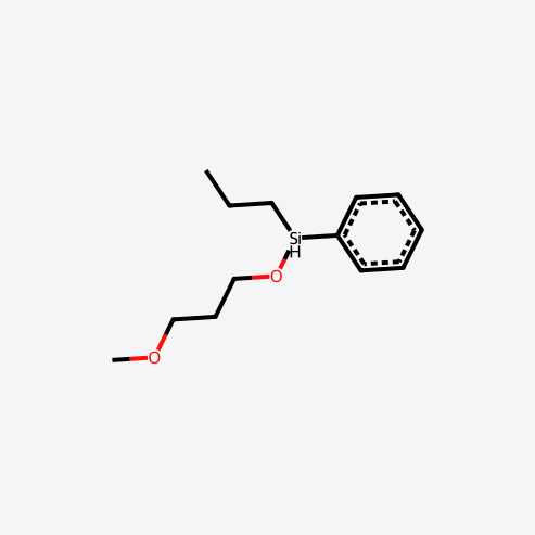 CCC[SiH](OCCCOC)c1ccccc1